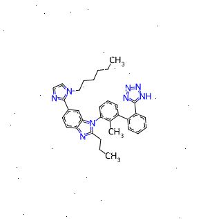 CCCCCCn1ccnc1-c1ccc2nc(CCC)n(-c3cccc(-c4ccccc4-c4nnn[nH]4)c3C)c2c1